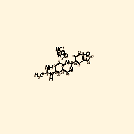 CC(=N)Nc1ccc2nc(-c3ccc4c(c3)CCO4)ncc2c1.Cl.Cl.O